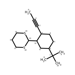 CC#CC1CCC(C(C)(C)C)CC1C1SCCCS1